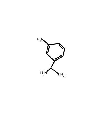 Nc1cccc(C(N)N)c1